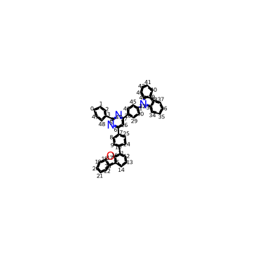 c1ccc(-c2nc(-c3ccc(-c4cccc5c4oc4ccccc45)cc3)cc(-c3ccc(-n4c5ccccc5c5ccccc54)cc3)n2)cc1